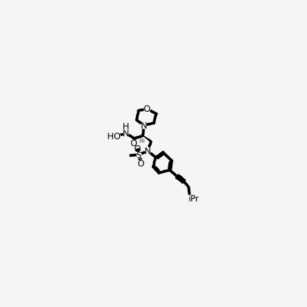 CC(C)CC#Cc1ccc(N(C[C@@H](C(=O)NO)N2CCOCC2)S(C)(=O)=O)cc1